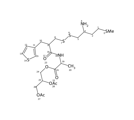 CSCCC(N)CSSCC(Cc1ccsc1)C(=O)NC(C)C(=O)OCC(COC(C)=O)OC(C)=O